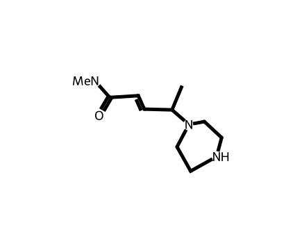 CNC(=O)C=CC(C)N1CCNCC1